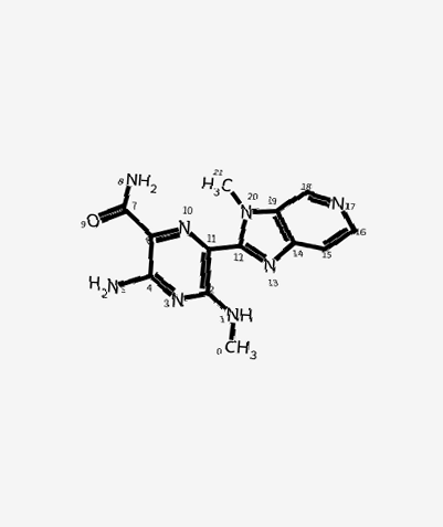 CNc1nc(N)c(C(N)=O)nc1-c1nc2ccncc2n1C